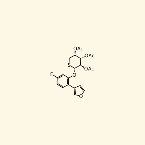 CC(=O)O[C@@H]1[C@@H](OC(C)=O)[C@H](OC(C)=O)CS[C@H]1Oc1cc(F)ccc1-c1ccoc1